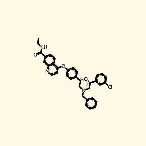 CCNC(=O)c1ccc2c(Oc3ccc(CCN(Cc4ccccc4)C[C@@H](O)c4cccc(Cl)c4)cc3)ccnc2c1